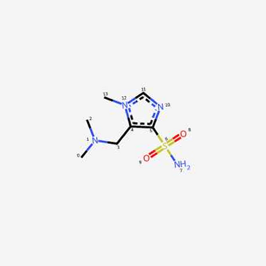 CN(C)Cc1c(S(N)(=O)=O)ncn1C